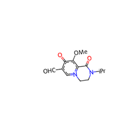 COc1c2n(cc(C=O)c1=O)CCN(C(C)C)C2=O